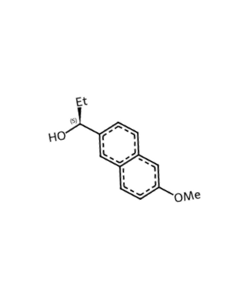 CC[C@H](O)c1ccc2cc(OC)ccc2c1